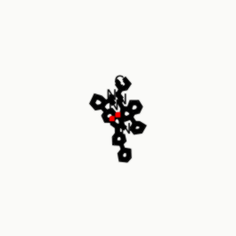 c1ccc(-c2ccc3c4ccccc4n(-c4ccccc4-c4ccc(-c5nc(-c6ccccc6)nc(-c6ccccc6-c6ccccc6)n5)c5ccccc45)c3c2)cc1